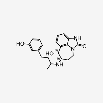 CC(CCc1cccc(O)c1)N[C@@H]1CCn2c(=O)[nH]c3cccc(c32)[C@H]1O